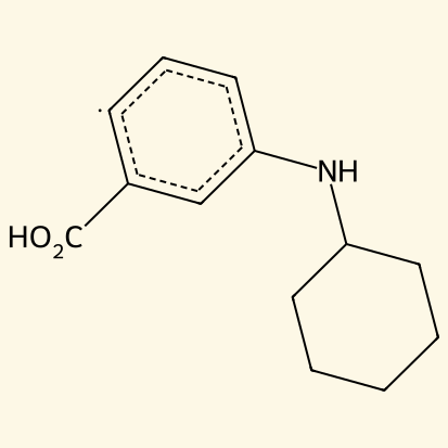 O=C(O)c1[c]ccc(NC2CCCCC2)c1